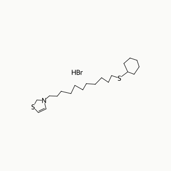 Br.C1=CN(CCCCCCCCCCCSC2CCCCC2)CS1